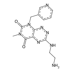 Cn1c(=O)c2nc(NCCN)nnc2n(Cc2cccnc2)c1=O